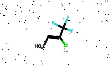 O=C(O)/C=C(\Cl)C(F)(F)F